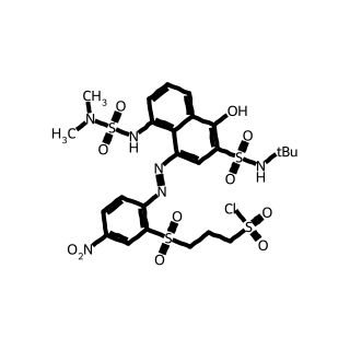 CN(C)S(=O)(=O)Nc1cccc2c(O)c(S(=O)(=O)NC(C)(C)C)cc(N=Nc3ccc([N+](=O)[O-])cc3S(=O)(=O)CCCS(=O)(=O)Cl)c12